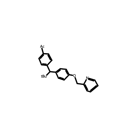 CC(=O)c1ccc(C(c2ccc(OCc3ccccn3)cc2)C(C)(C)C)cc1